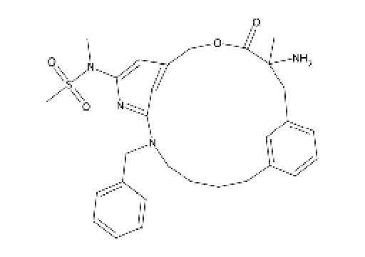 CN(c1cc2cc(n1)N(Cc1ccccc1)CCCCc1cccc(c1)CC(C)(N)C(=O)OC2)S(C)(=O)=O